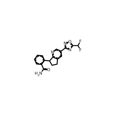 NC(=O)c1ccccc1C1CCc2cc(-c3noc(C(F)F)n3)cnc21